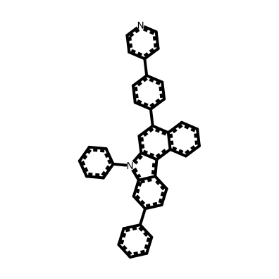 c1ccc(-c2ccc3c4c5ccccc5c(-c5ccc(-c6ccncc6)cc5)cc4n(-c4ccccc4)c3c2)cc1